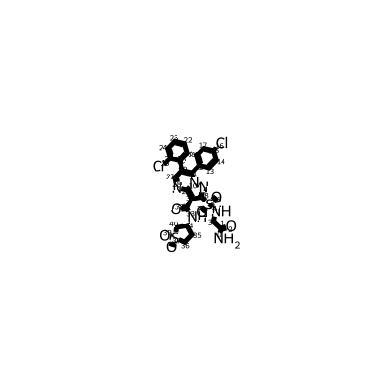 NC(=O)CNS(=O)(=O)c1nn2c(-c3ccc(Cl)cc3)c(-c3ccccc3Cl)cnc2c1C(=O)N[C@@H]1CCS(=O)(=O)C1